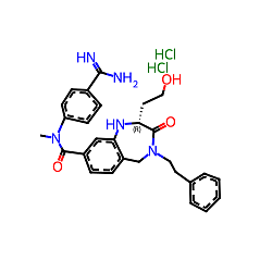 CN(C(=O)c1ccc2c(c1)N[C@H](CCO)C(=O)N(CCc1ccccc1)C2)c1ccc(C(=N)N)cc1.Cl.Cl